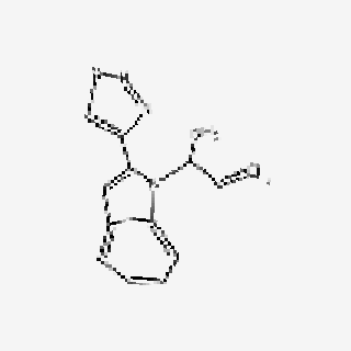 C=CC(N)n1c(-c2conn2)cc2ccccc21